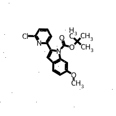 COc1ccc2cc(-c3cccc(Cl)n3)n(C(=O)OC(C)(C)C)c2c1